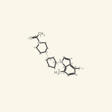 CC(=O)N1CCC([C@H]2CCC[C@@H](n3ccc4c(F)ccc(C)c43)C2)CC1